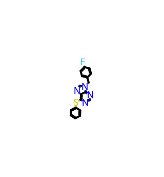 Fc1ccc(Cn2cnc3c(Sc4ccccc4)ncnc32)cc1